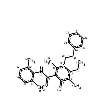 CCc1c(C)c(=O)c(C(=O)Nc2c(C)cccc2C)c(C)n1CCc1ccccc1